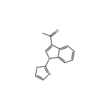 CC(=O)c1cn(-c2nccs2)c2ccccc12